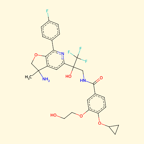 CC1(N)COc2c1cc(C(O)(CNC(=O)c1ccc(OC3CC3)c(OCCO)c1)C(F)(F)F)nc2-c1ccc(F)cc1